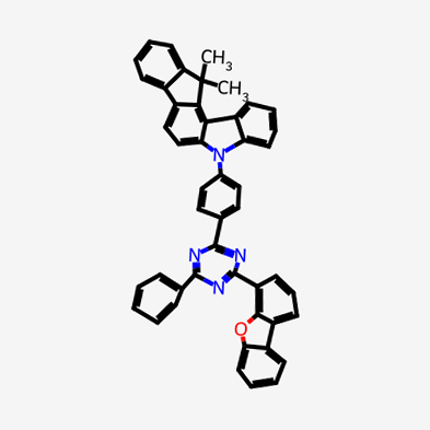 CC1(C)c2ccccc2-c2ccc3c(c21)c1ccccc1n3-c1ccc(-c2nc(-c3ccccc3)nc(-c3cccc4c3oc3ccccc34)n2)cc1